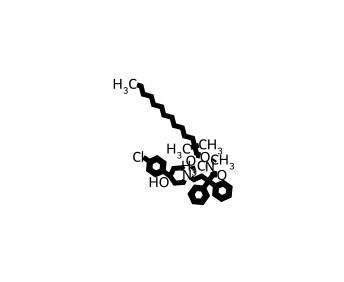 CCCCCCCCCCCCC(C)(C)C(=O)OC[N+]1(CCC(C(=O)N(C)C)(c2ccccc2)c2ccccc2)CCC(O)(c2ccc(Cl)cc2)CC1